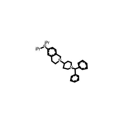 CC(C)N(c1ccc2c(c1)CCN(C1CCN(C(c3ccccc3)c3ccccc3)CC1)C2)C(C)C